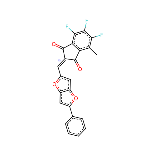 Cc1c(F)c(F)c(F)c2c1C(=O)/C(=C\c1cc3oc(-c4ccccc4)cc3o1)C2=O